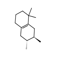 C[C@@H]1CC2=C(C[C@H]1C)C(C)(C)CCC2